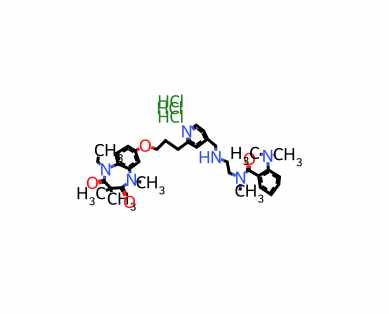 CCN1C(=O)C(C)(C)C(=O)N(C)c2cc(OCCCc3cc(CNCCN(C)C(=O)c4ccccc4N(C)C)ccn3)ccc21.Cl.Cl.Cl